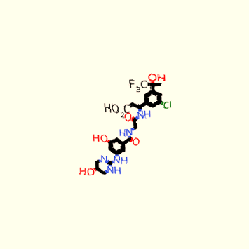 CC(O)(c1cc(Cl)cc(C(CC(=O)O)NC(=O)CNC(=O)c2cc(O)cc(NC3=NCC(O)CN3)c2)c1)C(F)(F)F